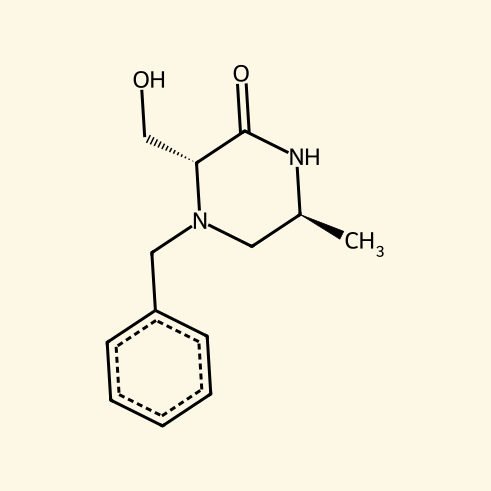 C[C@H]1CN(Cc2ccccc2)[C@H](CO)C(=O)N1